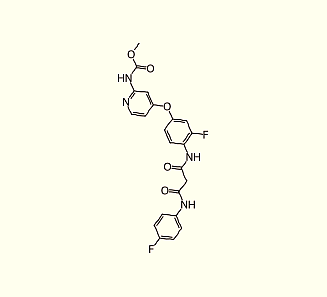 COC(=O)Nc1cc(Oc2ccc(NC(=O)CC(=O)Nc3ccc(F)cc3)c(F)c2)ccn1